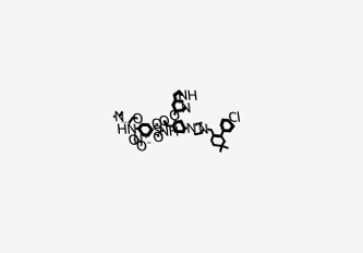 CN(C)C[C@@H]1COc2cc(S(=O)(=O)NC(=O)c3ccc(N4CCN(CC5=C(c6ccc(Cl)cc6)CC(C)(C)CC5)CC4)cc3Oc3cnc4[nH]ccc4c3)cc([N+](=O)[O-])c2N1